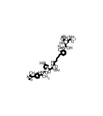 Cc1ncsc1-c1ccc([C@H](C)NC(=O)[C@@H]2C[C@@H](O)CN2C(=O)[C@@H](NC(=O)CCCCCc2cccc(NC(O)[C@H](CCC(N)=O)NC(=O)OC(C)(C)C)c2C)C(C)(C)C)cc1